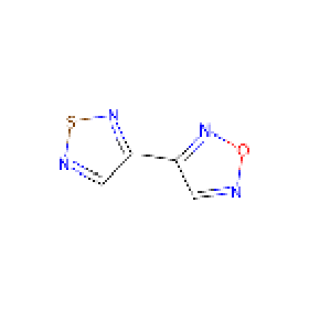 c1nonc1-c1cnsn1